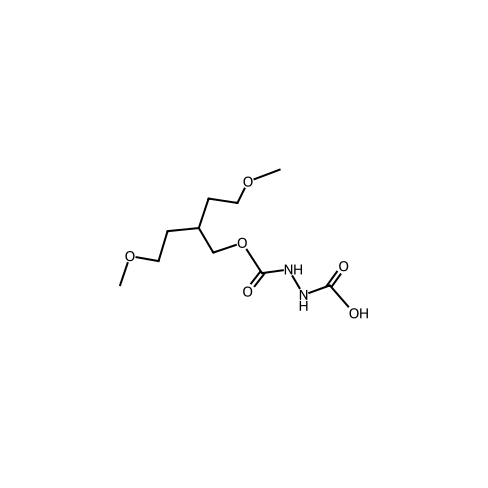 COCCC(CCOC)COC(=O)NNC(=O)O